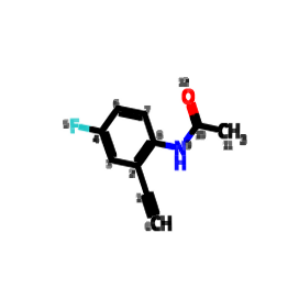 C#Cc1cc(F)ccc1NC(C)=O